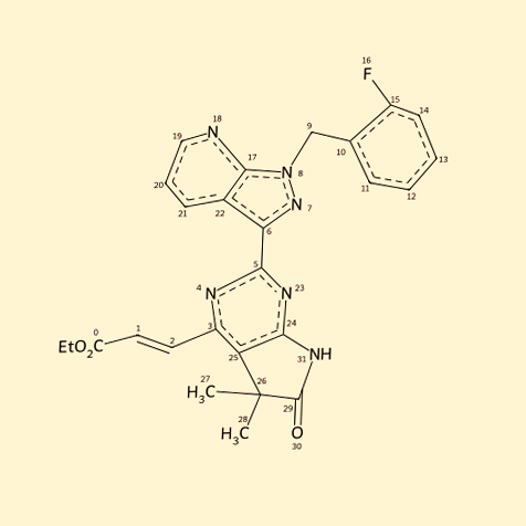 CCOC(=O)C=Cc1nc(-c2nn(Cc3ccccc3F)c3ncccc23)nc2c1C(C)(C)C(=O)N2